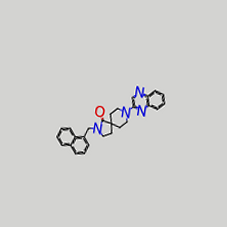 O=C1N(Cc2cccc3ccccc23)CCC12CCN(c1cnc3ccccc3n1)CC2